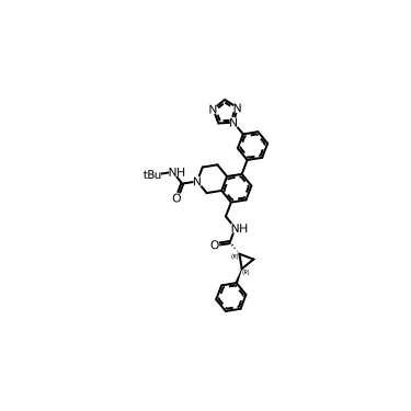 CC(C)(C)NC(=O)N1CCc2c(-c3cccc(-n4cncn4)c3)ccc(CNC(=O)[C@@H]3C[C@H]3c3ccccc3)c2C1